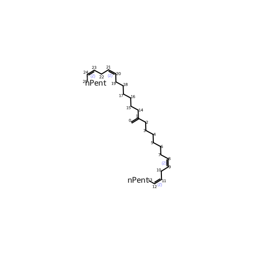 C=C(CCCCCC/C=C\C/C=C\CCCCC)CCCCCC/C=C\C/C=C\CCCCC